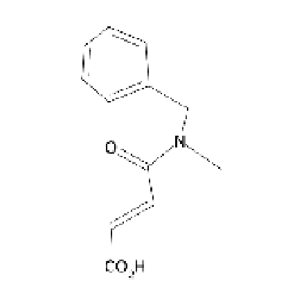 CN(Cc1ccccc1)C(=O)/C=C/C(=O)O